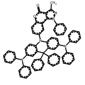 Cc1nn(-c2ccccc2)c2c1c(=O)oc1ccc(N3c4ccc(N(c5ccccc5)c5ccccc5)cc4C(c4ccccc4)(c4ccccc4)c4cc(N(c5ccccc5)c5ccccc5)ccc43)cc12